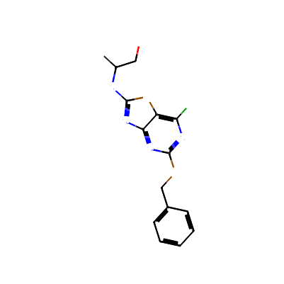 CCCC(CO)Nc1nc2nc(SCc3ccccc3)nc(Cl)c2s1